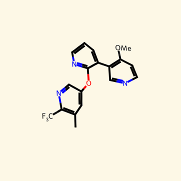 COc1ccncc1-c1cccnc1Oc1cnc(C(F)(F)F)c(C)c1